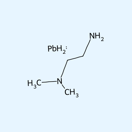 CN(C)CCN.[PbH2]